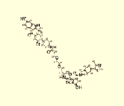 CCc1cc2c(cc1N1CCC(NC(=O)CCOCCOCCC(=O)N[C@H](C(=O)N3C[C@H](O)C[C@H]3C(=O)NCc3ccc(-c4scnc4C)cc3)C(C)(C)C)CC1)C(C)(C)c1[nH]c3cc(C#N)ccc3c1C2=O